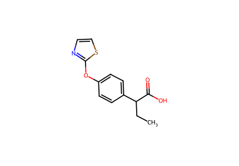 CCC(C(=O)O)c1ccc(Oc2nccs2)cc1